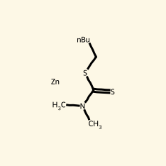 CCCCCSC(=S)N(C)C.[Zn]